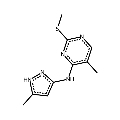 CSc1ncc(C)c(Nc2cc(C)[nH]n2)n1